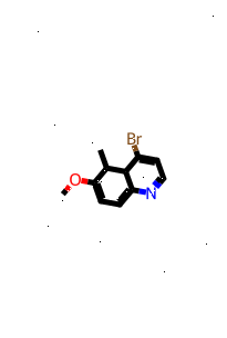 COC1=CC=C2N=CC=C(Br)C2C1C